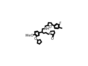 COc1ccc(C(CCCN2CCCC2=O)CNCC2CCC(c3ccc(C)c(F)c3)O2)cc1OC1CCCC1